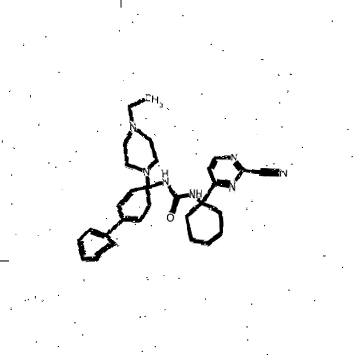 CCN1CCN(C2(NC(=O)NC3(c4ccnc(C#N)n4)CCCCC3)C=CC(c3ccccc3)=CC2)CC1